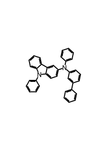 c1ccc(-c2cccc(N(c3ccccc3)c3ccc4c(c3)c3ccccc3n4-c3ccccc3)c2)cc1